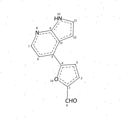 O=Cc1ccc(-c2ccnc3[nH]ccc23)o1